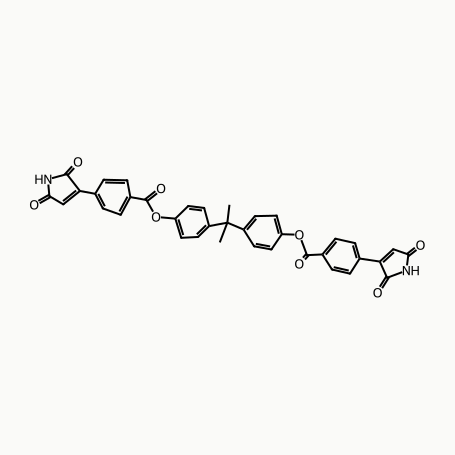 CC(C)(c1ccc(OC(=O)c2ccc(C3=CC(=O)NC3=O)cc2)cc1)c1ccc(OC(=O)c2ccc(C3=CC(=O)NC3=O)cc2)cc1